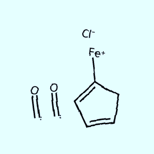 [C]=O.[C]=O.[Cl-].[Fe+][C]1=CC=CC1